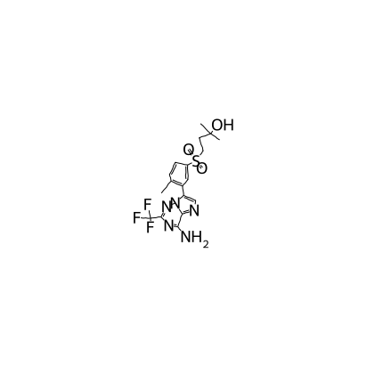 Cc1ccc(S(=O)(=O)CCC(C)(C)O)cc1-c1cnc2c(N)nc(C(F)(F)F)nn12